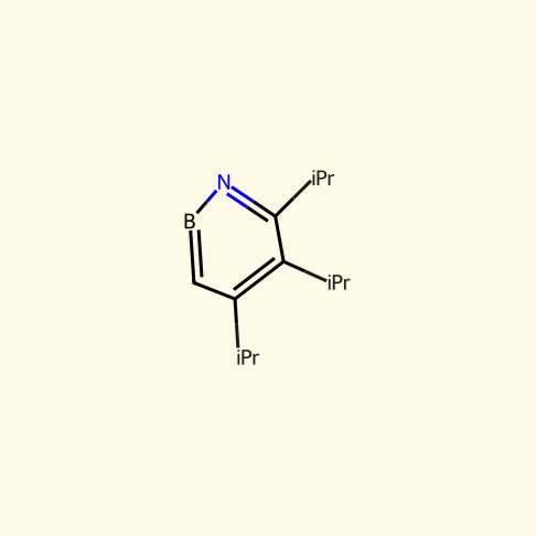 CC(C)c1cbnc(C(C)C)c1C(C)C